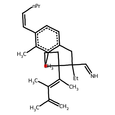 C=C(C)/C(C)=C(\C)C1(C(C=N)(CC)Cc2ccc(/C=C\CCC)c(C)c2C)CCC1